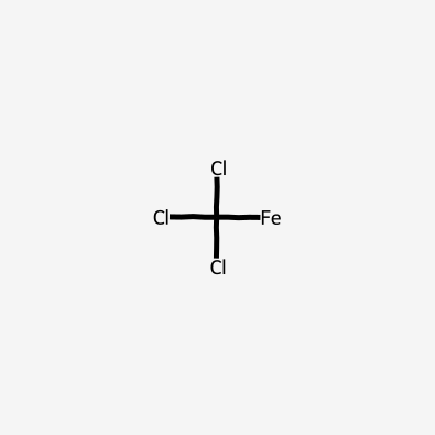 Cl[C](Cl)(Cl)[Fe]